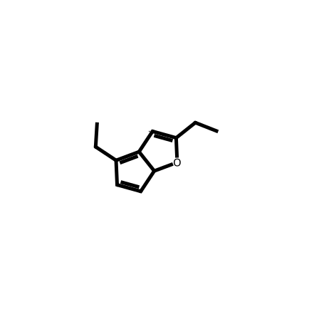 CCC1=[C]C2=C(CC)C=CC2O1